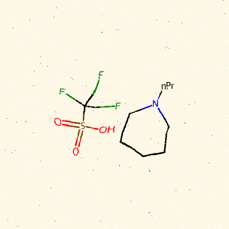 CCCN1CCCCC1.O=S(=O)(O)C(F)(F)F